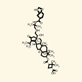 CC(C)C1=C2[C@H]3CC[C@@H]4[C@@]5(C)CC[C@H](OC(=O)[C@H]6C[C@@H](C(=O)O)C6(C)C)C(C)(C)[C@@H]5CC[C@@]4(C)[C@]3(C)CC[C@@]2([C@@H](O)CNCC(C)(C)NC(=O)c2ccc3nc[nH]c3c2)CC1=O